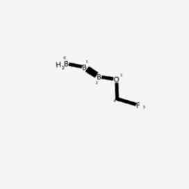 BB=BOCF